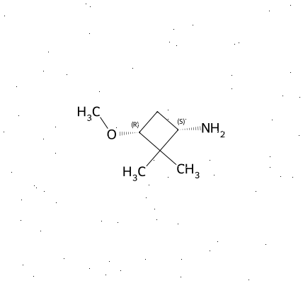 CO[C@@H]1C[C@H](N)C1(C)C